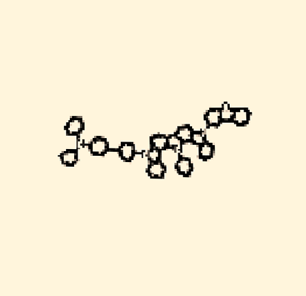 c1ccc(N(c2ccccc2)c2ccc(-c3ccc(-n4c5ccccc5c5c4ccc4c6ccc7c(c8ccccc8n7-c7ccc8oc9ccccc9c8c7)c6n(-c6ccccc6)c45)cc3)cc2)cc1